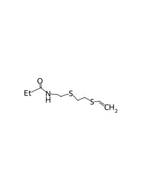 C=CSCCSCCNC(=O)CC